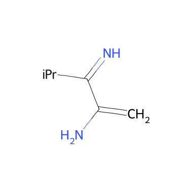 C=C(N)C(=N)C(C)C